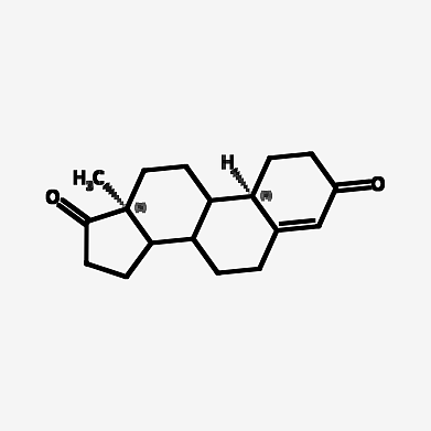 C[C@]12CCC3C(CCC4=CC(=O)CC[C@@H]43)C1CCC2=O